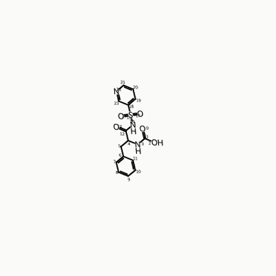 O=C(O)NC(Cc1ccccc1)C(=O)NS(=O)(=O)c1cccnc1